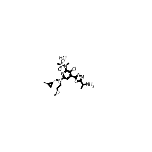 COCCN(C[C@@H]1C[C@H]1C)c1cc(-c2nnc(C(C)N)o2)c(Cl)c(N(C)S(C)(=O)=O)n1.Cl